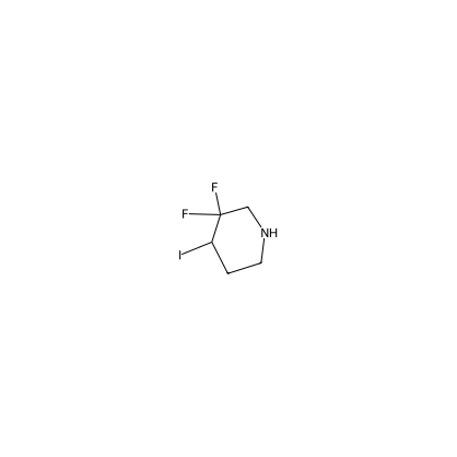 FC1(F)CNCCC1I